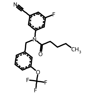 CCCCC(=O)N(Cc1cccc(OC(F)(F)F)c1)c1cc(F)cc(C#N)c1